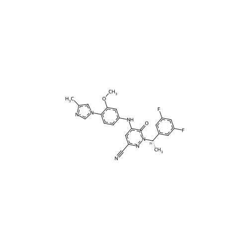 COc1cc(Nc2cc(C#N)nn([C@@H](C)c3cc(F)cc(F)c3)c2=O)ccc1-n1cnc(C)c1